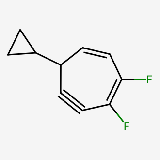 FC1=C(F)C=CC(C2CC2)C#C1